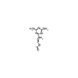 Nc1nc(N)nc(N)n1.O=C=NC=O